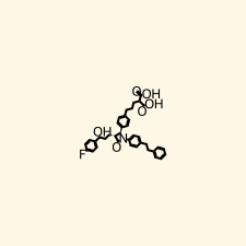 O=C(O)C(CCCc1ccc([C@@H]2[C@@H](CC[C@H](O)c3ccc(F)cc3)C(=O)N2c2ccc(CCc3ccccc3)cc2)cc1)C(=O)O